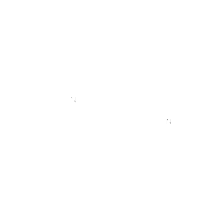 C=CN/C=C(\C)c1ccncc1